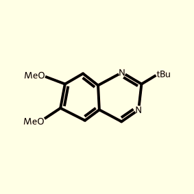 COc1cc2cnc(C(C)(C)C)nc2cc1OC